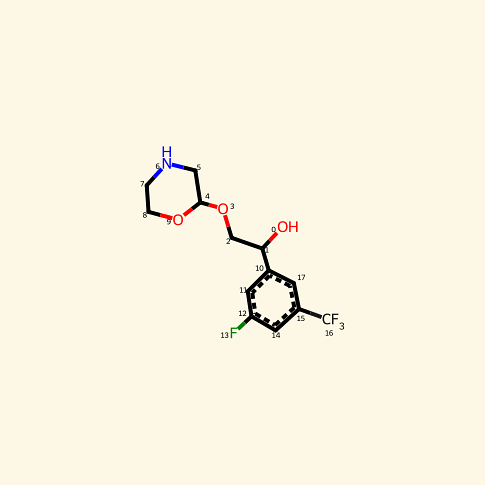 OC(COC1CNCCO1)c1cc(F)cc(C(F)(F)F)c1